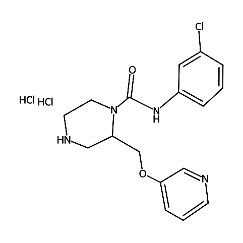 Cl.Cl.O=C(Nc1cccc(Cl)c1)N1CCNCC1COc1cccnc1